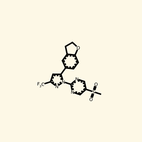 CS(=O)(=O)c1cnc(-n2nc(C(F)(F)F)cc2-c2ccc3c(c2)CCO3)nc1